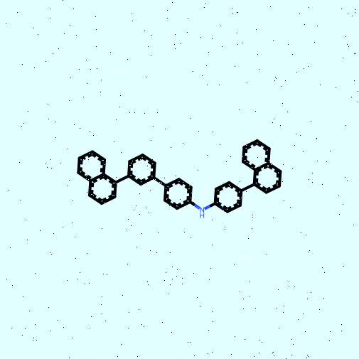 c1cc(-c2ccc(Nc3ccc(-c4cccc5ccccc45)cc3)cc2)cc(-c2cccc3ccccc23)c1